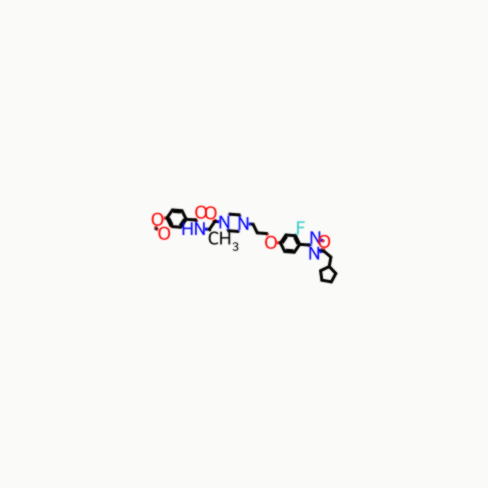 C[C@@H](NC(=O)c1ccc2c(c1)OCO2)C(=O)N1CCN(CCCOc2ccc(-c3noc(CC4CCCC4)n3)c(F)c2)CC1